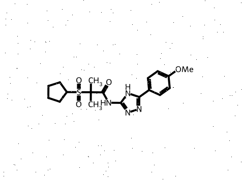 COc1ccc(-c2nnc(NC(=O)C(C)(C)S(=O)(=O)C3CCCC3)[nH]2)cc1